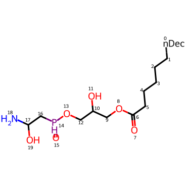 CCCCCCCCCCCCCCCC(=O)OCC(O)CO[PH](=O)CC(N)O